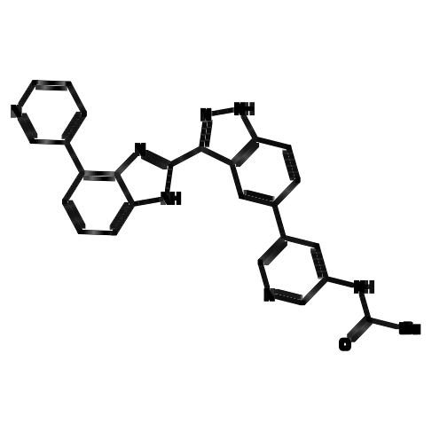 CC(C)(C)C(=O)Nc1cncc(-c2ccc3[nH]nc(-c4nc5c(-c6cccnc6)cccc5[nH]4)c3c2)c1